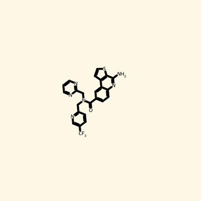 Nc1nc2ccc(C(=O)N(Cc3ccc(C(F)(F)F)cn3)Cc3ncccn3)cc2c2ccsc12